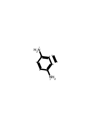 C=C.Nc1ccc(N)cc1